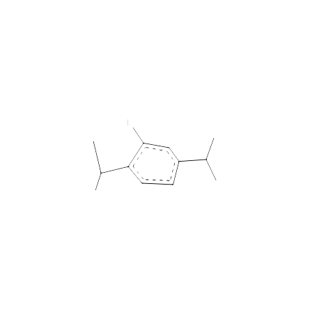 C[C](C)c1ccc(C(C)C)c(F)c1